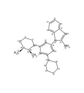 C[C@H]1OCCN(c2nc(N3CCCCC3)nc(-n3c(N)nc4ccccc43)n2)[C@H]1C